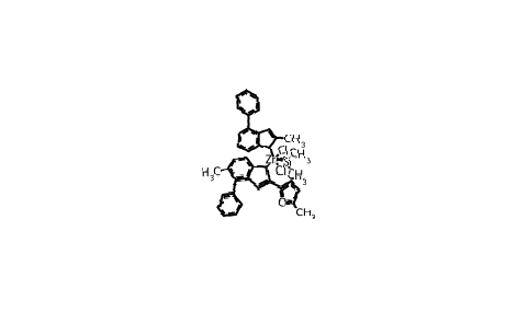 CC1=Cc2c(-c3ccccc3)cccc2[CH]1[Zr]([Cl])([Cl])([CH]1C(c2ccc(C)o2)=Cc2c1ccc(C)c2-c1ccccc1)=[Si](C)C